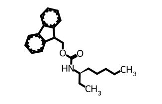 CCCCC[C@@H](CC)NC(=O)OCC1c2ccccc2-c2ccccc21